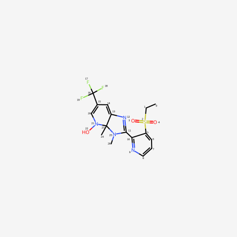 CCS(=O)(=O)c1cccnc1C1=NC2=CC(C(F)(F)F)=CN(O)C2(C)N1C